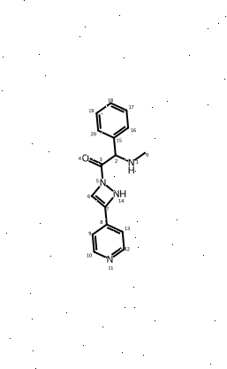 CNC(C(=O)n1cc(-c2ccncc2)[nH]1)c1ccccc1